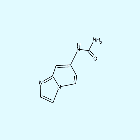 NC(=O)Nc1ccn2ccnc2c1